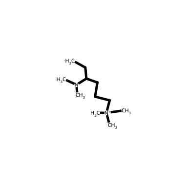 [CH2]CC(CCC[N+](C)(C)C)N(C)C